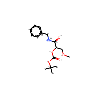 COCC(OC(=O)OC(C)(C)C)C(=O)NCc1ccccc1